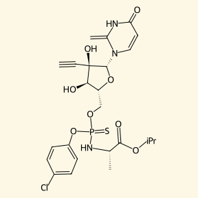 C#C[C@@]1(O)[C@H](O)[C@@H](COP(=S)(N[C@@H](C)C(=O)OC(C)C)Oc2ccc(Cl)cc2)O[C@H]1N1C=CC(=O)NC1=C